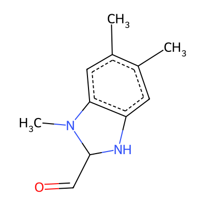 Cc1cc2c(cc1C)N(C)C(C=O)N2